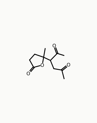 CC(=O)CC(C(C)=O)C1(C)CCC(=O)O1